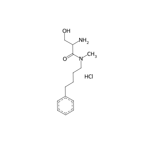 CN(CCCCc1ccccc1)C(=O)C(N)CO.Cl